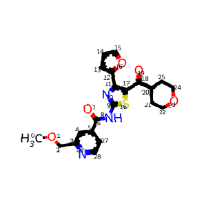 COCc1cc(C(=O)Nc2nc(-c3ccco3)c(C(=O)C3CCOCC3)s2)ccn1